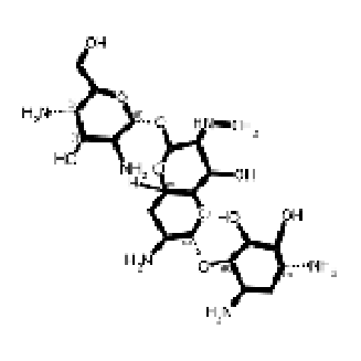 CNC1C(O[C@H]2OC(CO)[C@@H](N)[C@H](O)C2N)O[C@H]2CC(N)[C@@H](O[C@@H]3C(N)C[C@@H](N)C(O)C3O)OC2C1O